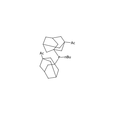 CCCCP(C12CC3CC(CC(C(C)=O)(C3)C1)C2)C12CC3CC(CC(C(C)=O)(C3)C1)C2